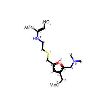 CNC(=C[N+](=O)[O-])NCCSCc1cc(COC)c(CN(C)C)o1